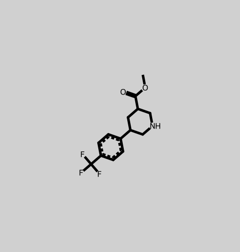 COC(=O)C1CNCC(c2ccc(C(F)(F)F)cc2)C1